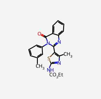 CCOC(=O)Nc1nc(C)c(-c2nc3ccccc3c(=O)n2-c2cccc(C)c2)s1